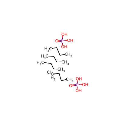 C.CCCC.CCCC.CCCC.CCCC.O=P(O)(O)O.O=P(O)(O)O